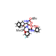 COC(=O)[C@@H](CC(C)C)N(C(=O)[C@@H](NC(=O)OC(C)(C)C)C1Cc2ccccc2C1)[C@@H](C(=O)Nc1ccccc1O)c1ccc(F)cc1